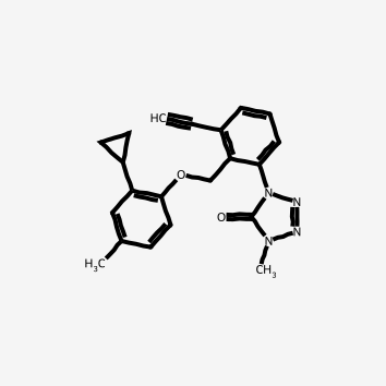 C#Cc1cccc(-n2nnn(C)c2=O)c1COc1ccc(C)cc1C1CC1